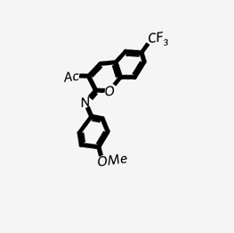 COc1ccc(/N=c2\oc3ccc(C(F)(F)F)cc3cc2C(C)=O)cc1